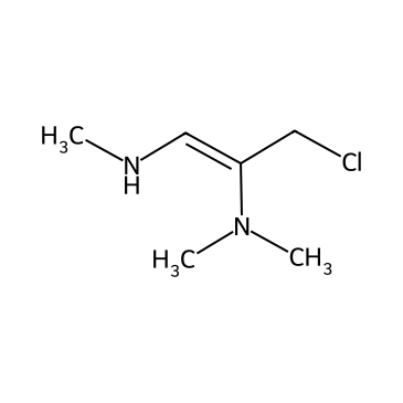 CN/C=C(/CCl)N(C)C